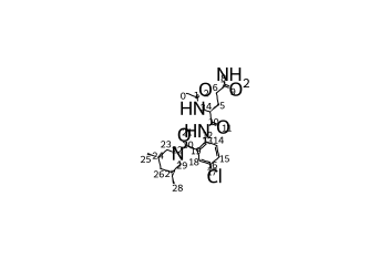 CC(=O)N[C@@H](CCC(N)=O)C(=O)Nc1ccc(Cl)cc1C(=O)N1C[C@H](C)C[C@H](C)C1